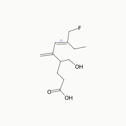 C=C(/C=C(\CC)CF)C(CO)CCC(=O)O